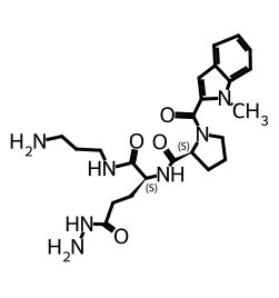 Cn1c(C(=O)N2CCC[C@H]2C(=O)N[C@@H](CCC(=O)NN)C(=O)NCCCN)cc2ccccc21